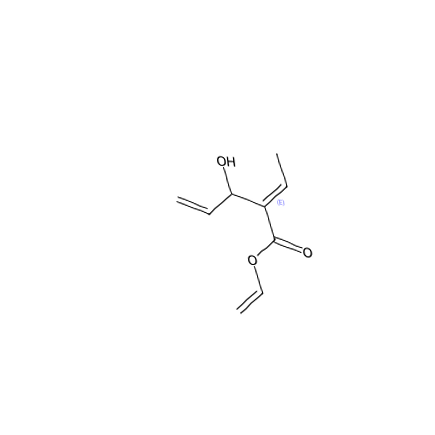 C=COC(=O)/C(=C/C)C(O)C=C